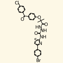 CC(C)(Oc1ccc(C(=O)c2ccc(Cl)cc2)cc1)C(=O)NNC(=O)Nc1nc(-c2ccc(Br)cc2)cs1